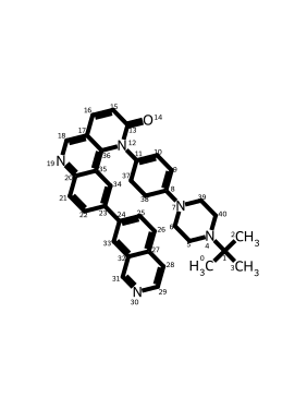 CC(C)(C)N1CCN(C2=CC=C(n3c(=O)ccc4cnc5ccc(-c6ccc7ccncc7c6)cc5c43)CC2)CC1